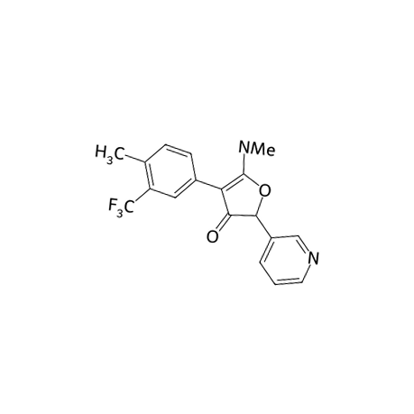 CNC1=C(c2ccc(C)c(C(F)(F)F)c2)C(=O)C(c2cccnc2)O1